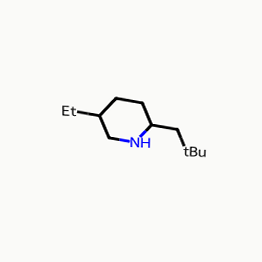 CCC1CCC(CC(C)(C)C)NC1